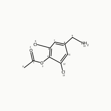 CC(=O)Oc1c(Cl)cc(CN)cc1Cl